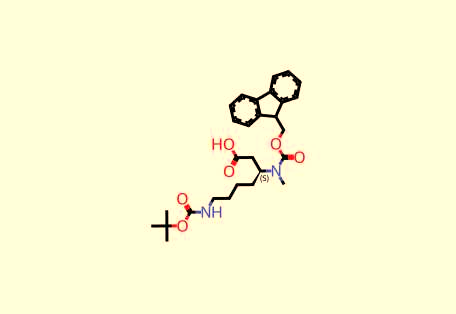 CN(C(=O)OCC1c2ccccc2-c2ccccc21)[C@@H](CCCCNC(=O)OC(C)(C)C)CC(=O)O